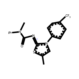 Cc1cn(-c2ccc(C(F)(F)F)cc2)/c(=N/C(=O)N(C)C(C)C)s1